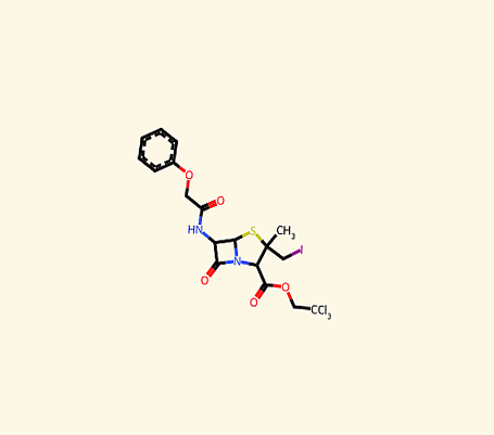 CC1(CI)SC2C(NC(=O)COc3ccccc3)C(=O)N2C1C(=O)OCC(Cl)(Cl)Cl